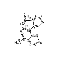 NC(=O)c1ccccc1[Se](=[Se])c1ccccc1C(N)=O